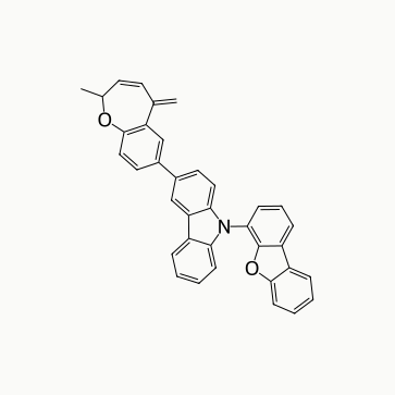 C=C1C=CC(C)Oc2ccc(-c3ccc4c(c3)c3ccccc3n4-c3cccc4c3oc3ccccc34)cc21